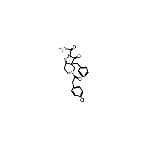 NC(=O)N1N=C2CCN(C(=O)[CH]c3ccc(Cl)cc3)CC2(Cc2ccccc2)C1=O